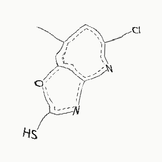 Cc1cc(Cl)nc2nc(S)oc12